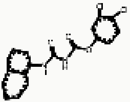 O=C(NC(=O)Oc1ccc(Cl)c(Cl)c1)Nc1cccc2ccccc12